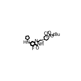 CC(C)(C)OC(=O)N1CC[C@@H](SCc2nc3cc(NC4CCCC4)cc(F)c3c(=O)[nH]2)C[C@@H]1C(F)(F)F